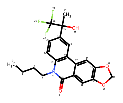 CCCCn1c(=O)c2cc3c(cc2c2cc(C(C)(O)C(F)(F)F)ccc21)OCO3